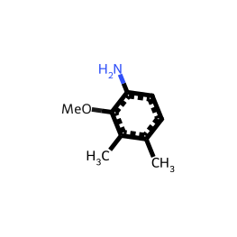 COc1c(N)ccc(C)c1C